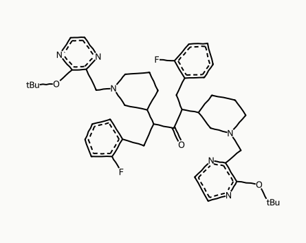 CC(C)(C)Oc1nccnc1CN1CCCC(C(Cc2ccccc2F)C(=O)C(Cc2ccccc2F)C2CCCN(Cc3nccnc3OC(C)(C)C)C2)C1